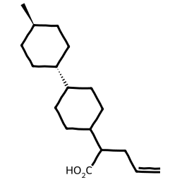 C=CCC(C(=O)O)C1CCC([C@H]2CC[C@H](C)CC2)CC1